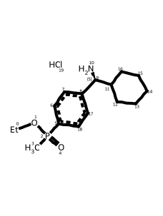 CCOP(C)(=O)c1ccc([C@@H](N)C2CCCCC2)cc1.Cl